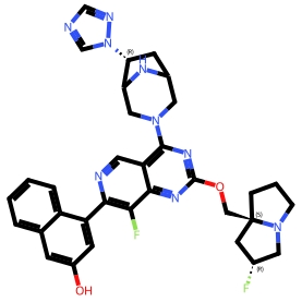 Oc1cc(-c2ncc3c(N4CC5C[C@@H](n6cncn6)C(C4)N5)nc(OC[C@@]45CCCN4C[C@H](F)C5)nc3c2F)c2ccccc2c1